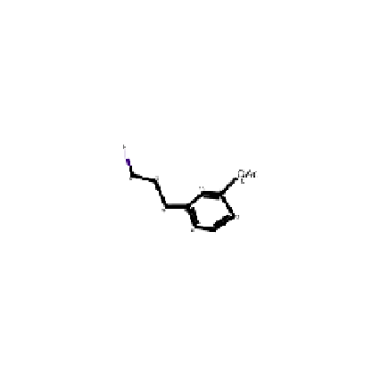 CC(=O)Oc1cccc(CCCI)c1